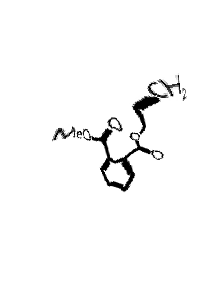 C=CCOC(=O)c1ccccc1C(=O)OC